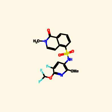 COc1nc(OC(F)F)c(F)cc1NS(=O)(=O)c1cccc2c(=O)n(C)ccc12